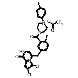 O=C(c1cc(Cc2c[nH]c(=O)c3cc(Cl)c(Cl)n23)ccc1F)N1CC[N+](OC(=O)C(F)(F)F)(c2ccc(F)cc2)CC1